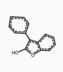 Oc1oc2ccccc2c1-c1ccccc1